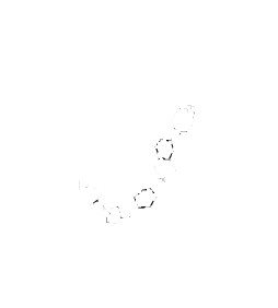 CN1CCN(c2ccc3c(c2)CO[C@H](c2ccc(OC4CCN(C(=O)OC(C)(C)C)C4)cc2)C3)CC1